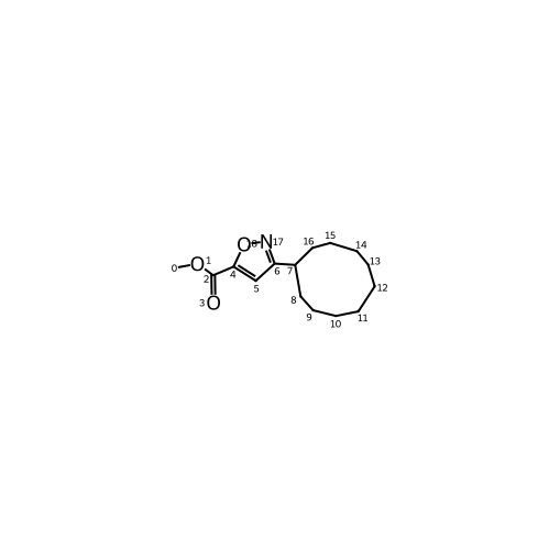 COC(=O)c1cc(C2CCCCCCCCC2)no1